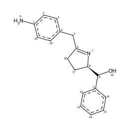 Nc1ccc(CC2=N[C@@H](C(O)c3ccccc3)CC2)cc1